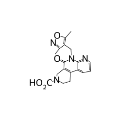 Cc1noc(C)c1Cn1c(=O)c2c(c3cccnc31)CCN(C(=O)O)C2